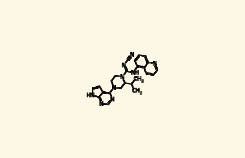 CC(C)C1CN(c2ncnc3[nH]ccc23)CCN1/C(=N/C#N)Nc1cccc2ncccc12